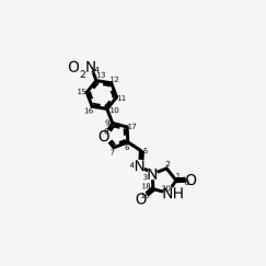 O=C1CN(/N=C/c2coc(-c3ccc([N+](=O)[O-])cc3)c2)C(=O)N1